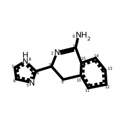 NC1=NC(c2ncc[nH]2)Cc2ccccc21